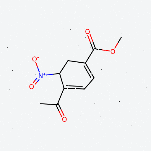 COC(=O)C1=CC=C(C(C)=O)C([N+](=O)[O-])C1